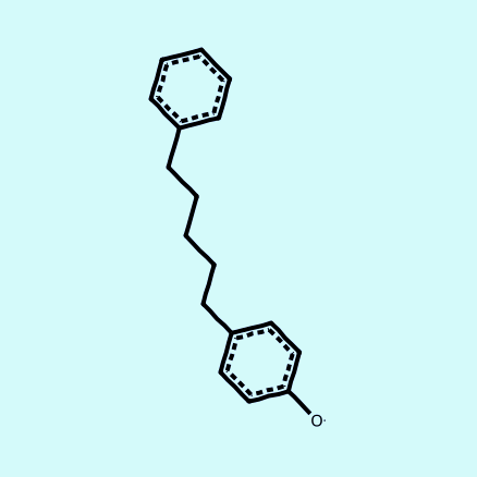 [O]c1ccc(CCCCCc2ccccc2)cc1